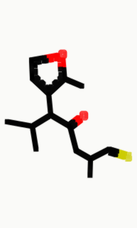 Cc1occc1C(C(=O)CC(C)C=S)C(C)C